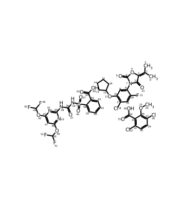 CC(C)=C1OC(=O)N(c2cc(OC3CCCC3)c(Cl)cc2F)C1=O.COc1c(Cl)ccc(Cl)c1C(=O)O.O=C(Nc1nc(OC(F)F)cc(OC(F)F)n1)NS(=O)(=O)c1ccccc1C(=O)O